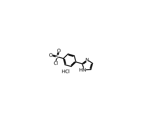 Cl.O=S(=O)(Cl)c1ccc(-c2ncc[nH]2)cc1